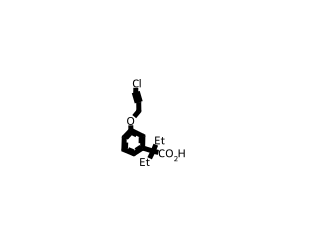 CCC(CC)(C(=O)O)c1cccc(OCC#CCl)c1